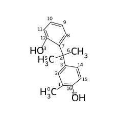 Cc1cc(C(C)(C)c2ccccc2O)ccc1O